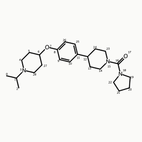 CC(C)N1CCC(Oc2ccc(C3CCN(C(=O)N4CCCC4)CC3)cc2)CC1